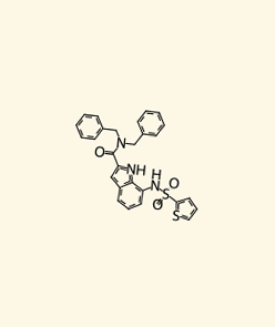 O=C(c1cc2cccc(NS(=O)(=O)c3cccs3)c2[nH]1)N(Cc1ccccc1)Cc1ccccc1